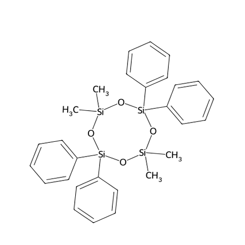 C[Si]1(C)O[Si](c2ccccc2)(c2ccccc2)O[Si](C)(C)O[Si](c2ccccc2)(c2ccccc2)O1